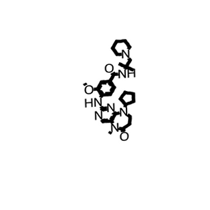 COc1cc(C(=O)NC(C)(C)CN2CCCCC2)ccc1Nc1ncc2c(n1)N(C1CCCC1)CCC(=O)N2C